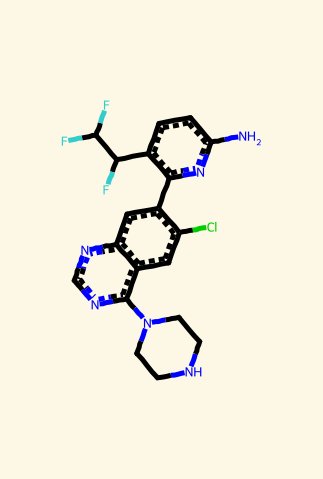 Nc1ccc(C(F)C(F)F)c(-c2cc3ncnc(N4CCNCC4)c3cc2Cl)n1